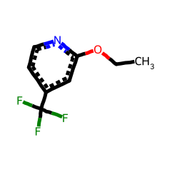 CCOc1cc(C(F)(F)F)ccn1